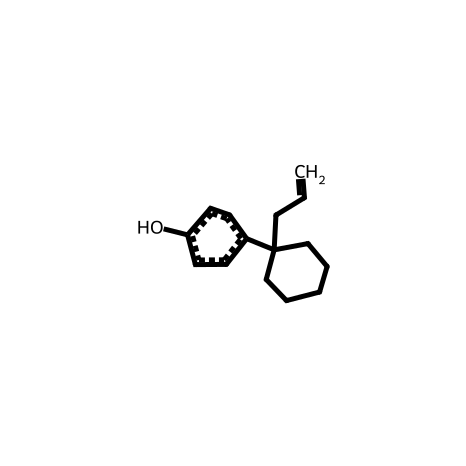 C=CCC1(c2ccc(O)cc2)CCCCC1